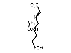 CC(=O)O.CCCCCCCCCCCCN=CC(=O)O